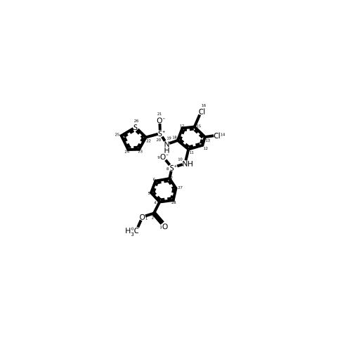 COC(=O)c1ccc([S+]([O-])Nc2cc(Cl)c(Cl)cc2N[S+]([O-])c2cccs2)cc1